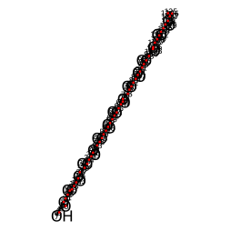 O=C(CCCCCO)OCCCCCC(=O)OCCCCCC(=O)OCCCCCC(=O)OCCCCCC(=O)OCCCCCC(=O)OCCCCCC(=O)OCCCCCC(=O)OCCCCCC(=O)OCCCCCC(=O)OCCCCCC(=O)OCCCCCC(=O)OCCCCCC(=O)OCCCCCC(=O)OCCCCCC(=O)OCc1ccccc1